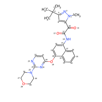 Cn1nc(C(C)(C)C)cc1C(=O)C(=O)Nc1ccc(Oc2ccnc(N3CCOCC3)n2)c2ccccc12